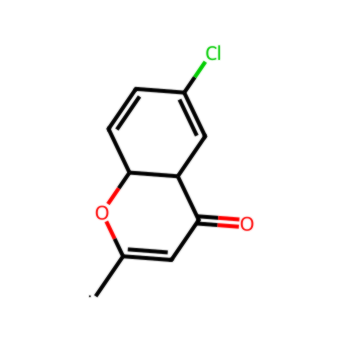 [CH2]C1=CC(=O)C2C=C(Cl)C=CC2O1